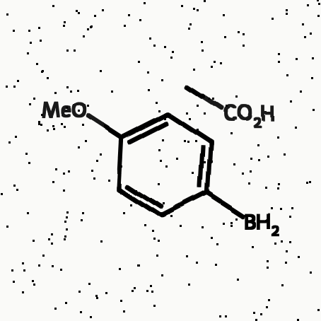 Bc1ccc(OC)cc1.CC(=O)O